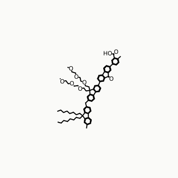 CCCCCCCCC1(CCCCCCCC)c2cc(C)ccc2-c2ccc(Cc3ccc4c(c3)C(CCOCCOCCOC)(CCOCCOCCOC)c3cc(-c5ccc6c(c5)C(=O)c5cc(-c7ccc(C)c(C(=O)O)c7)ccc5-6)ccc3-4)cc21